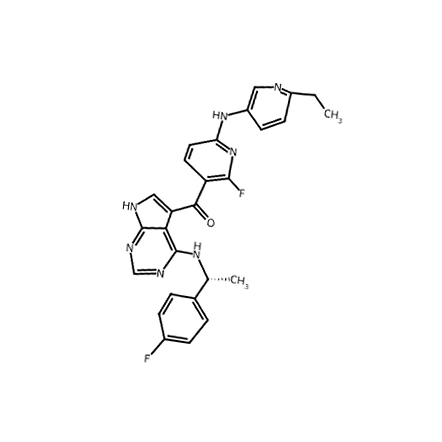 CCc1ccc(Nc2ccc(C(=O)c3c[nH]c4ncnc(N[C@H](C)c5ccc(F)cc5)c34)c(F)n2)cn1